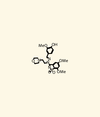 COc1cc(OC)c2c(c1)C(N(CCN1CCOCC1)/N=C/c1ccc(O)c(OC)c1)=NS2(=O)=O